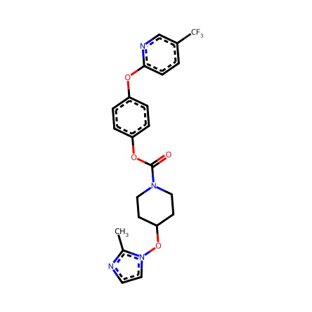 Cc1nccn1OC1CCN(C(=O)Oc2ccc(Oc3ccc(C(F)(F)F)cn3)cc2)CC1